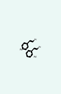 CC(=O)C=Cc1ccccc1.CC(=O)C=Cc1ccccc1.[Pd].[Pd]